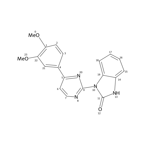 COc1ccc(-c2ccnc(-n3c(=O)[nH]c4ccccc43)n2)cc1OC